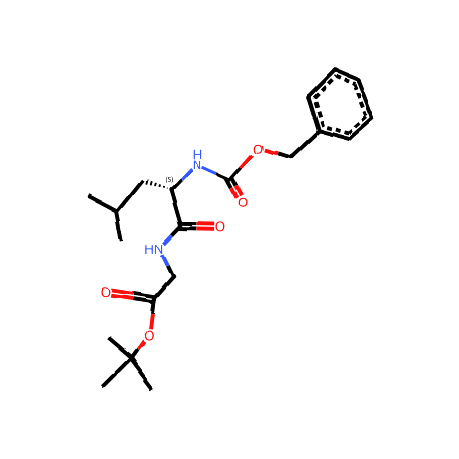 CC(C)C[C@H](NC(=O)OCc1ccccc1)C(=O)NCC(=O)OC(C)(C)C